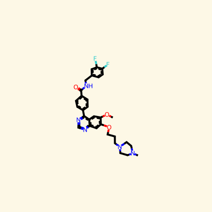 COc1cc2c(-c3ccc(C(=O)NCc4ccc(F)c(F)c4)cc3)ncnc2cc1OCCCN1CCN(C)CC1